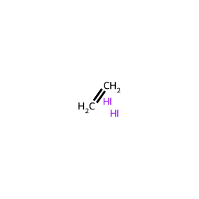 C=C.I.I